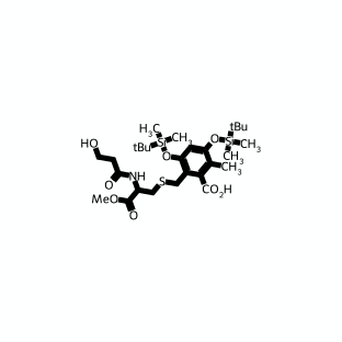 COC(=O)C(CSCc1c(O[Si](C)(C)C(C)(C)C)cc(O[Si](C)(C)C(C)(C)C)c(C)c1C(=O)O)NC(=O)CCO